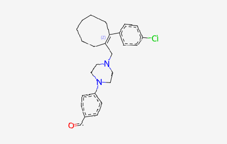 O=[C]c1ccc(N2CCN(C/C3=C(\c4ccc(Cl)cc4)CCCCCC3)CC2)cc1